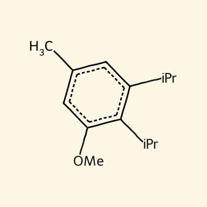 COc1cc(C)cc(C(C)C)c1C(C)C